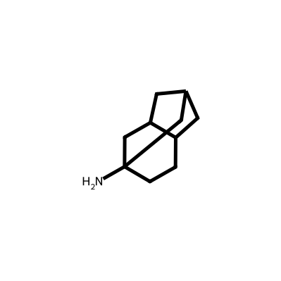 NC12CCC3CC(CC3C1)C2